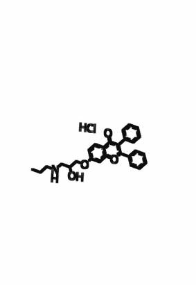 CCCNCC(O)COc1ccc2c(=O)c(-c3ccccc3)c(-c3ccccc3)oc2c1.Cl